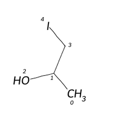 CC(O)CI